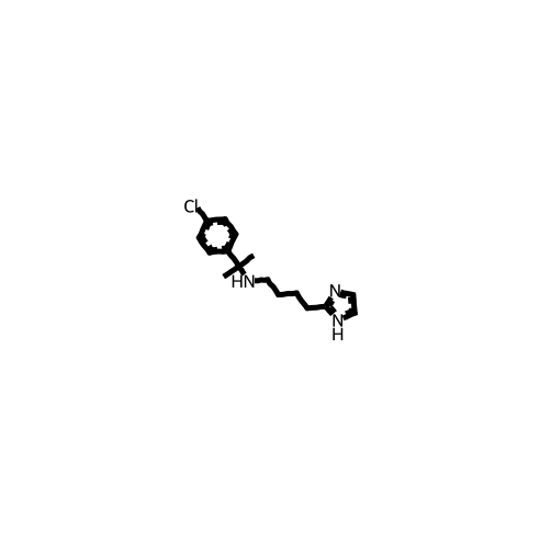 CC(C)(NCCCCc1ncc[nH]1)c1ccc(Cl)cc1